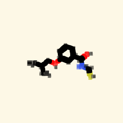 CC(C)COc1cccc(C(=O)NC=S)c1